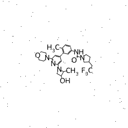 Cc1ccc(NC(=O)N2CCC(CC(F)(F)F)C2)cc1-c1cc(N2CCOCC2)nc(N2CC(O)C2C)c1